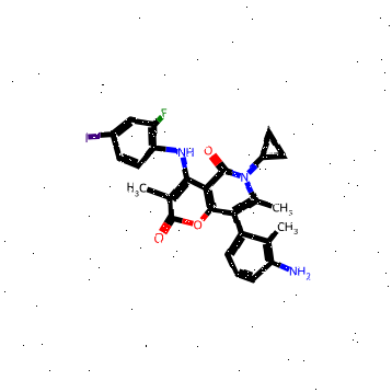 Cc1c(N)cccc1-c1c(C)n(C2CC2)c(=O)c2c(Nc3ccc(I)cc3F)c(C)c(=O)oc12